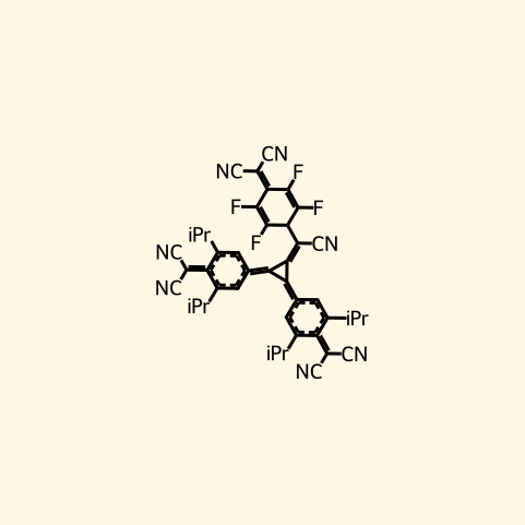 CC(C)c1cc(=C2C(=C(C#N)C3C(F)=C(F)C(=C(C#N)C#N)C(F)=C3F)C2=c2cc(C(C)C)c(=C(C#N)C#N)c(C(C)C)c2)cc(C(C)C)c1=C(C#N)C#N